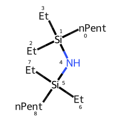 CCCCC[Si](CC)(CC)N[Si](CC)(CC)CCCCC